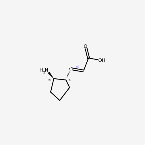 N[C@@H]1CCC[C@H]1/C=C/C(=O)O